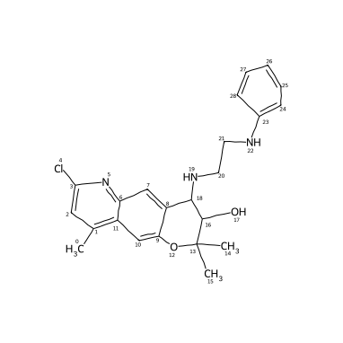 Cc1cc(Cl)nc2cc3c(cc12)OC(C)(C)C(O)C3NCCNc1ccccc1